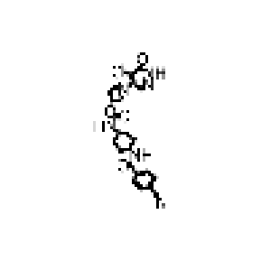 N#Cc1ccc(C(=O)N[C@H]2CC[C@H](NC(=O)O[C@@H]3CCN(c4cn[nH]c(=O)c4Cl)C3)CC2)cc1